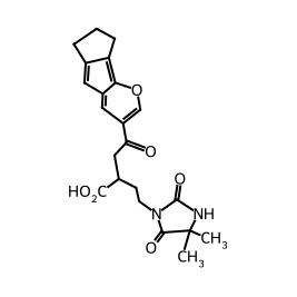 CC1(C)NC(=O)N(CCC(CC(=O)c2coc3c4c(cc-3c2)CCC4)C(=O)O)C1=O